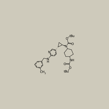 Cc1cccc(CNc2ccc([C@@H]3C[C@H]3N(C(=O)OC(C)(C)C)C3CCC(NC(=O)OC(C)(C)C)CC3)cn2)c1